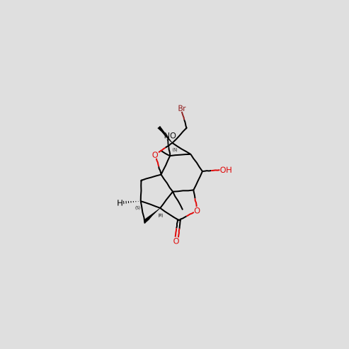 CC1(N=O)C2C(O)C3OC(=O)[C@]45C[C@H]4CC1(O[C@]2(C)CBr)C35C